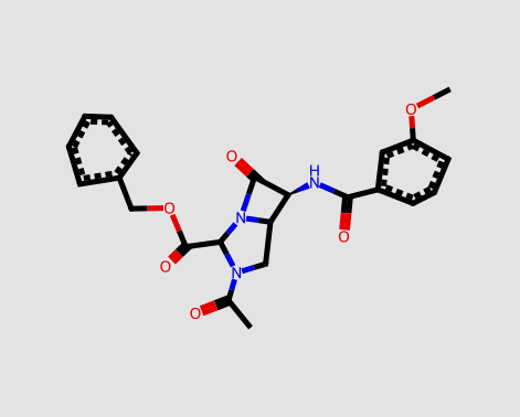 COc1cccc(C(=O)N[C@@H]2C(=O)N3C2CN(C(C)=O)C3C(=O)OCc2ccccc2)c1